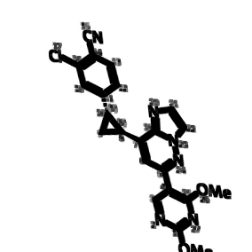 COc1ncc(-c2cc([C@H]3C[C@@H]3c3ccc(C#N)c(Cl)c3)c3nccn3n2)c(OC)n1